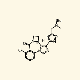 CN(Cc1nc(-c2ncn3c2[C@@H]2CCN2C(=O)c2c(Cl)cccc2-3)no1)C(C)(C)C